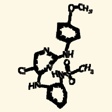 COc1ccc(Nc2ncc(Cl)c(Nc3ccccc3NS(C)(=O)=O)n2)cc1